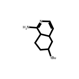 CC(C)(C)C1CCC2C(N)=NC=CC2C1